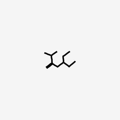 C=C(CC(CC)CC)C(C)C